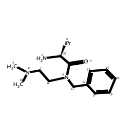 CC(C)[C@H](N)C(=O)N(CCN(C)C)Cc1ccccc1